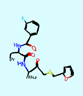 CCCCC(NC(=O)C(CC(C)C)NC(=O)c1cccc(F)c1)C(=O)CSCc1ccco1